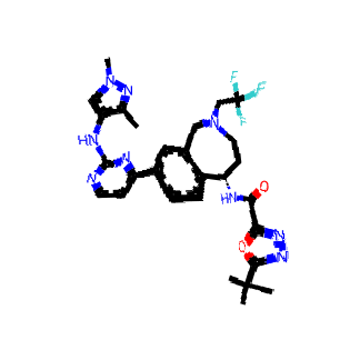 Cc1nn(C)cc1Nc1nccc(-c2ccc3c(c2)CN(CC(F)(F)F)CC[C@@H]3NC(=O)c2nnc(C(C)(C)C)o2)n1